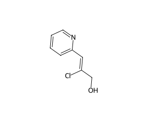 OCC(Cl)=Cc1ccccn1